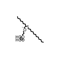 CCCCCCCCCCCCSC(CCCCCCC)[C@@H](C)OCCCOP(=O)(O)O